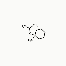 CC(C)O[Si]1(C)CCCCC1